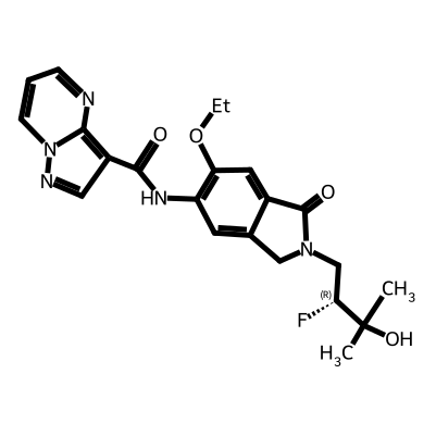 CCOc1cc2c(cc1NC(=O)c1cnn3cccnc13)CN(C[C@@H](F)C(C)(C)O)C2=O